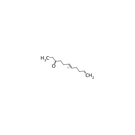 C=CCC/C=C/CCC(=O)CC